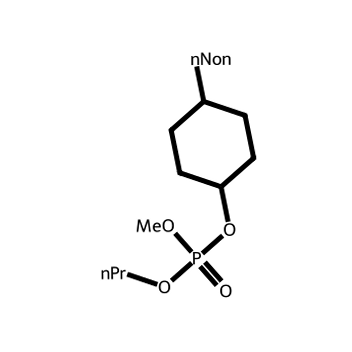 CCCCCCCCCC1CCC(OP(=O)(OC)OCCC)CC1